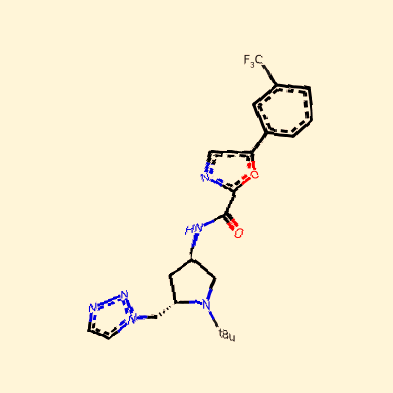 CC(C)(C)N1C[C@H](NC(=O)c2ncc(-c3cccc(C(F)(F)F)c3)o2)C[C@H]1Cn1ccnn1